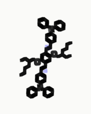 CCCCC(CC)COc1cc(/C=C/c2ccc(N(c3ccccc3)c3ccccc3)cc2)c(OCC(CC)CCCC)cc1/C=C/c1ccc(N(c2ccccc2)c2ccccc2)cc1